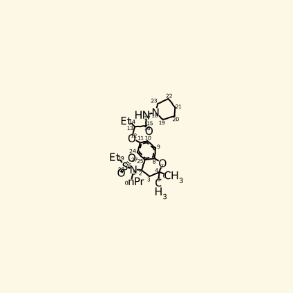 CCCN(C1CC(C)(C)Oc2ccc(OC(CC)C(=O)NN3CCCCC3)cc21)S(=O)(=O)CC